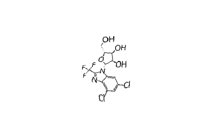 OC[C@H]1O[C@@H](n2c(C(F)(F)F)nc3c(Cl)cc(Cl)cc32)[C@H](O)[C@@H]1O